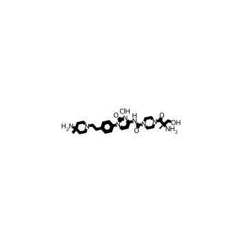 CC1(N)CCN(CCc2ccc(-n3ccc(NC(=O)N4CCN(C(=O)[C@@](C)(N)CO)CC4)nc3=O)cc2)CC1.Cl